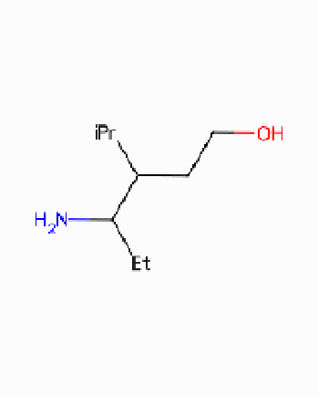 CCC(N)C(CCO)C(C)C